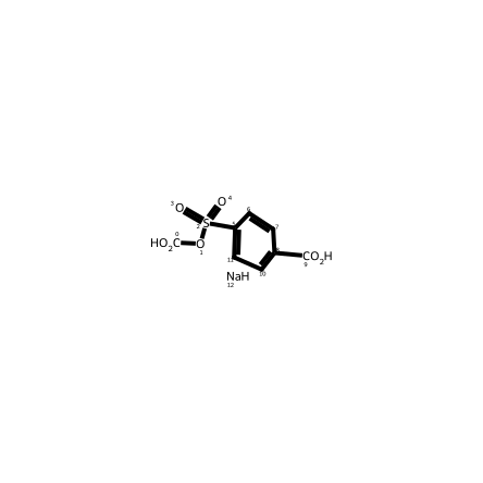 O=C(O)OS(=O)(=O)c1ccc(C(=O)O)cc1.[NaH]